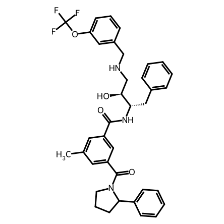 Cc1cc(C(=O)N[C@@H](Cc2ccccc2)[C@@H](O)CNCc2cccc(OC(F)(F)F)c2)cc(C(=O)N2CCCC2c2ccccc2)c1